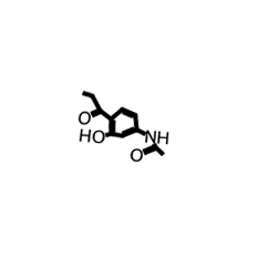 CCC(=O)c1ccc(NC(C)=O)cc1O